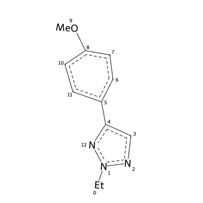 CCn1ncc(-c2ccc(OC)cc2)n1